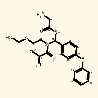 CCOCCN(C(=O)C(Cl)Cl)C(NC(=O)CC)c1ccc(Oc2ccccc2)cc1